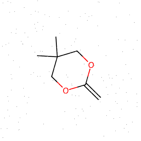 C=C1OCC(C)(C)CO1